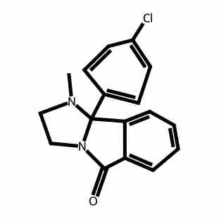 CN1CCN2C(=O)c3ccccc3C12c1ccc(Cl)cc1